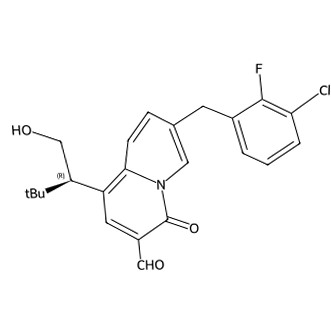 CC(C)(C)[C@@H](CO)c1cc(C=O)c(=O)n2cc(Cc3cccc(Cl)c3F)ccc12